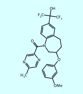 COc1cccc(OC2CCc3cc(C(O)(C(F)(F)F)C(F)(F)F)ccc3N(C(=O)c3cnc(C)cn3)C2)c1